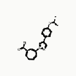 O=C(O)C1=CCC=CC(n2cc(-c3ccc(OC(F)F)cc3)cn2)=C1